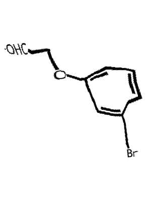 O=[C]COc1cccc(Br)c1